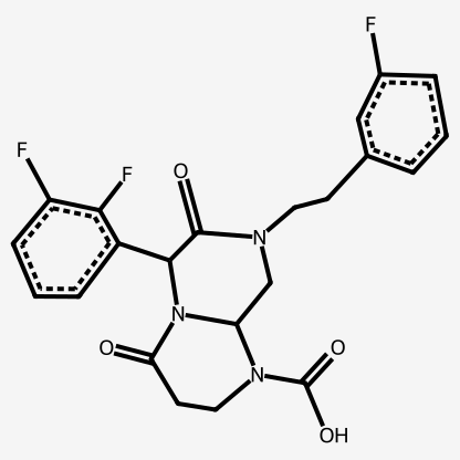 O=C1C(c2cccc(F)c2F)N2C(=O)CCN(C(=O)O)C2CN1CCc1cccc(F)c1